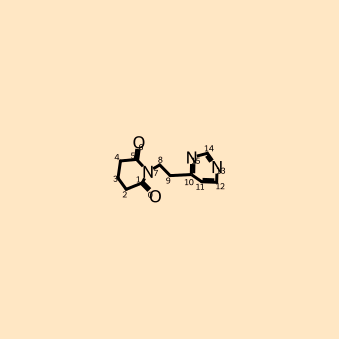 O=C1CCCC(=O)N1CCc1ccncn1